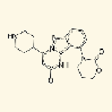 O=C1OCCCN1c1cccc2nn3c(C4CCNCC4)cc(=O)[nH]c3c12